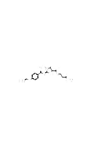 CCCCN1C(=NC(=O)c2ccc(SC=N)cc2)SC(C(=O)NCCC(=O)OC)C1C